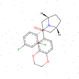 O=C(c1ccc2c(c1)OCCO2)N1[C@@H]2CC[C@H]1C[C@@H](c1ccc(F)cc1F)C2